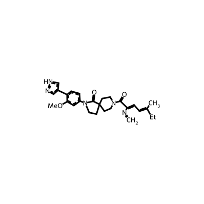 C=N/C(=C\C=C(/C)CC)C(=O)N1CCC2(CC1)CCN(c1ccc(-c3cn[nH]c3)c(OC)c1)C2=O